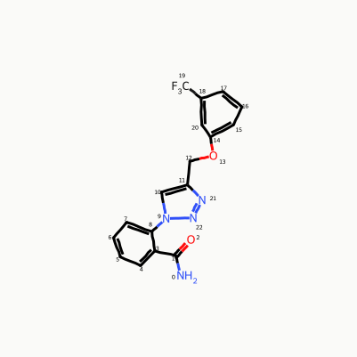 NC(=O)c1ccccc1-n1cc(COc2cccc(C(F)(F)F)c2)nn1